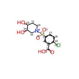 O=C(O)c1cc(S(=O)(=O)N2CCC(O)C(O)C2)ccc1Cl